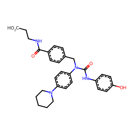 O=C(O)CCNC(=O)c1ccc(CN(C(=O)Nc2ccc(O)cc2)c2ccc(N3CCCCC3)cc2)cc1